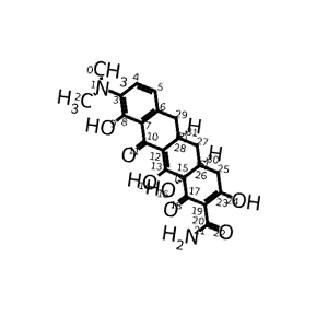 CN(C)c1ccc2c(c1O)C(=O)C1=C(O)[C@]3(O)C(=O)C(C(N)=O)=C(O)C[C@@H]3C[C@@H]1C2